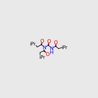 CC(C)CC(=O)NC(=O)N(C(=O)CC(C)C)C(=O)CC(C)C